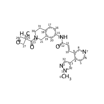 Cn1cc(-c2ccncc2C=CC(=O)Nc2ccc3c(c2)CN(C(=O)C2(C)COC2)CC3)cn1